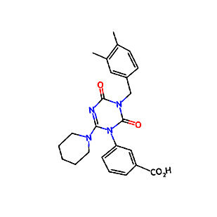 Cc1ccc(Cn2c(=O)nc(N3CCCCC3)n(-c3cccc(C(=O)O)c3)c2=O)cc1C